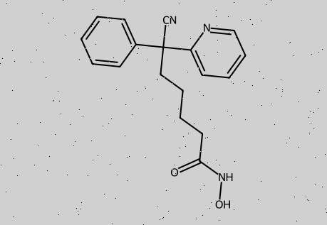 N#CC(CCCCC(=O)NO)(c1ccccc1)c1ccccn1